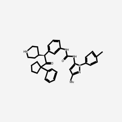 Cc1ccc(-n2nc(C(C)(C)C)cc2NC(=O)Nc2cccc([C@@H](C(=O)C3(c4ccccc4)CCCC3)C3CCNCC3)c2)cc1